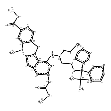 CCC[C@@H](CCO[Si](c1ccccc1)(c1ccccc1)C(C)(C)C)Nc1nc(NC(=O)OC)nc2cnn(Cc3cnc(C(=O)OC)cc3OC)c12